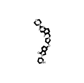 O=C1c2ccc(O[C@H]3CCN(Cc4ccc5nc(N6CCOCC6)ncc5c4F)C3)cc2CN1[C@H]1CCCNC1